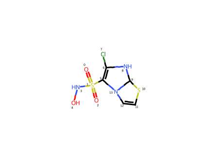 O=S(=O)(NO)C1=C(Cl)NC2SC=CN12